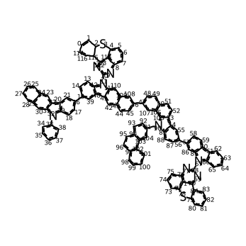 C1=CC2Sc3cccc4nc(-n5c6ccc(-c7ccc8c(c7)c7cc9ccccc9cc7n8-c7ccccc7)cc6c6cc7ccc(-c8ccc9ccc%10c%11cc(-c%12ccc%13c%14ccccc%14n(-c%14nc%15c%16c(cccc%16n%14)Sc%14ccccc%14-%15)c%13c%12)ccc%11n(-c%11ccc%12ccc%13ccccc%13c%12c%11)c%10c9c8)cc7cc65)nc(c34)C2C=C1